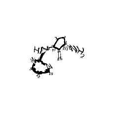 N[C@H]1CC[C@H](Nc2ncccn2)C1